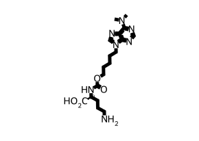 CN(C)c1ncnc2c1ncn2CCCCCOC(=O)N[C@@H](CCCN)C(=O)O